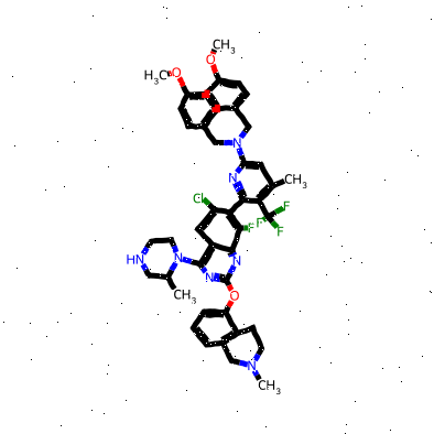 COc1ccc(CN(Cc2ccc(OC)cc2)c2cc(C)c(C(F)(F)F)c(-c3c(Cl)cc4c(N5CCNCC5C)nc(Oc5cccc6c5CCN(C)C6)nc4c3F)n2)cc1